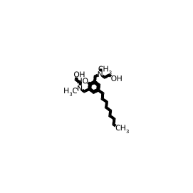 CCCCCCCCCc1cc(CN(C)CCO)c(O)c(CN(C)CCO)c1